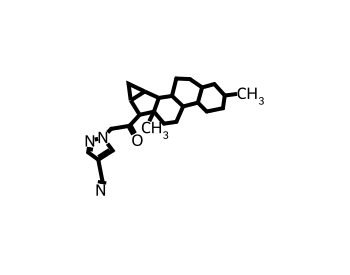 CC1CCC2C(CCC3C2CCC2(C)C(C(=O)Cn4cc(C#N)cn4)C4CC4C32)C1